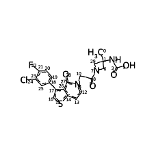 CC1(NC(=O)O)CN(C(=O)Cn2ccc3scc(-c4ccc(F)c(Cl)c4)c3c2=O)C1